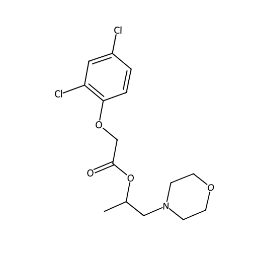 CC(CN1CCOCC1)OC(=O)COc1ccc(Cl)cc1Cl